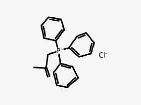 C=C(C)C[P+](c1ccccc1)(c1ccccc1)c1ccccc1.[Cl-]